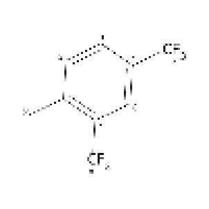 [CH2]c1ccc(C(F)(F)F)cc1C(F)(F)F